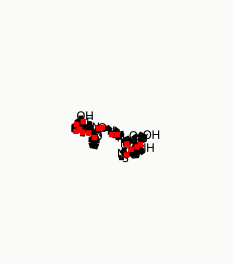 CCc1cccc2cc(O)cc(-c3ncc4c(N5CC6CCC(C5)N6C=O)nc(OCCN5CCC6(CC5)CN(c5cc(C(C(=O)N7C[C@H](O)C[C@H]7C(=O)NC(C)c7ccc(-c8scnc8C)cc7)C(C)C)on5)C6)nc4c3F)c12